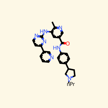 CCCN1CCC(c2ccc(NC(=O)c3cnc(C)c(Nc4nccc(-c5cccnc5)n4)c3)cc2)C1